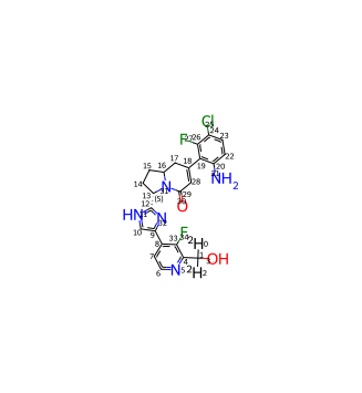 [2H]C([2H])(O)c1nccc(-c2c[nH]c([C@@H]3CCC4CC(c5c(N)ccc(Cl)c5F)=CC(=O)N43)n2)c1F